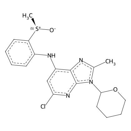 Cc1nc2c(Nc3ccccc3[S@@+](C)[O-])cc(Cl)nc2n1C1CCCCO1